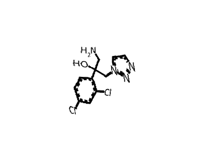 NCC(O)(Cn1ccnn1)c1ccc(Cl)cc1Cl